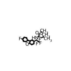 COC(=O)[C@H](CC(C)C)NC(c1ccc2oc3cc(F)ccc3c2c1)C(F)(F)F